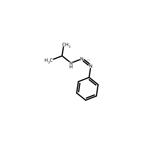 CC(C)N/N=N\c1ccccc1